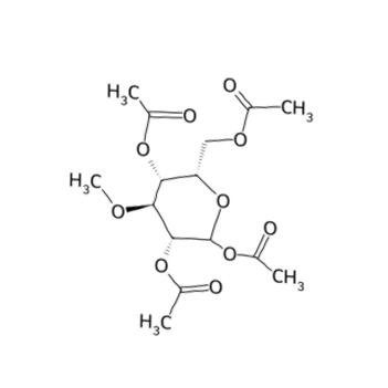 CO[C@H]1[C@H](OC(C)=O)[C@H](COC(C)=O)OC(OC(C)=O)[C@@H]1OC(C)=O